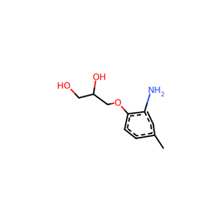 Cc1ccc(OCC(O)CO)c(N)c1